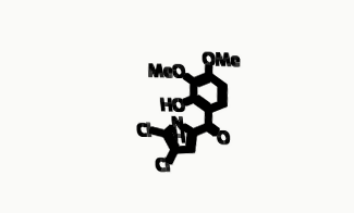 COc1ccc(C(=O)c2cc(Cl)c(Cl)[nH]2)c(O)c1OC